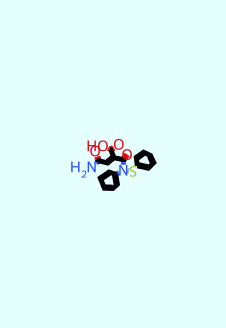 NC(=O)/C=C(\C(=O)O)C(=O)N(Sc1ccccc1)c1ccccc1